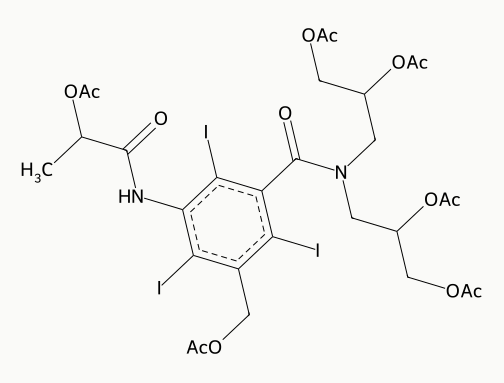 CC(=O)OCc1c(I)c(NC(=O)C(C)OC(C)=O)c(I)c(C(=O)N(CC(COC(C)=O)OC(C)=O)CC(COC(C)=O)OC(C)=O)c1I